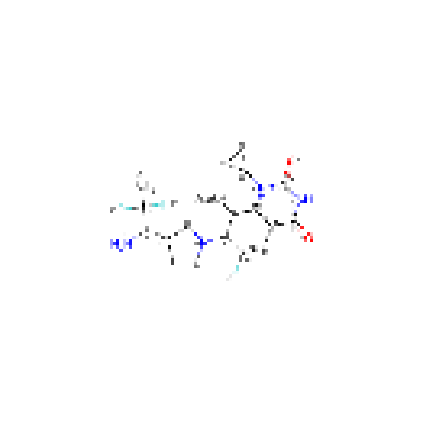 COC1c2c(c(=O)[nH]c(=O)n2C2CC2)C=C(F)C1N1CCC(C(N)C(F)(F)C(F)(F)F)C1